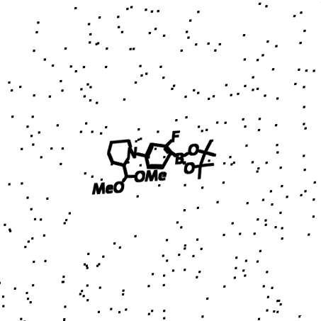 COC(OC)C1CCCCN1c1ccc(B2OC(C)(C)C(C)(C)O2)c(F)c1